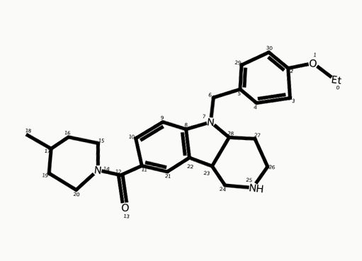 CCOc1ccc(CN2c3ccc(C(=O)N4CCC(C)CC4)cc3C3CNCCC32)cc1